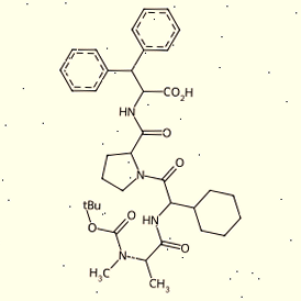 CC(C(=O)NC(C(=O)N1CCCC1C(=O)NC(C(=O)O)C(c1ccccc1)c1ccccc1)C1CCCCC1)N(C)C(=O)OC(C)(C)C